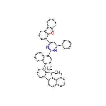 CC1(C)c2c(cccc2-c2ccc(-c3nc(-c4ccccc4)cc(-c4cccc5c4oc4ccccc45)n3)c3ccccc23)-c2ccc3ccccc3c21